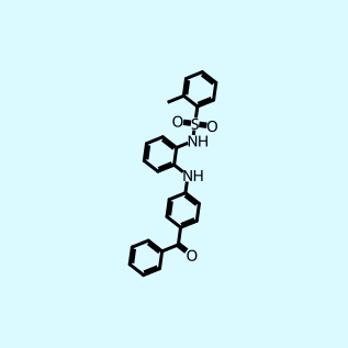 Cc1ccccc1S(=O)(=O)Nc1ccccc1Nc1ccc(C(=O)c2ccccc2)cc1